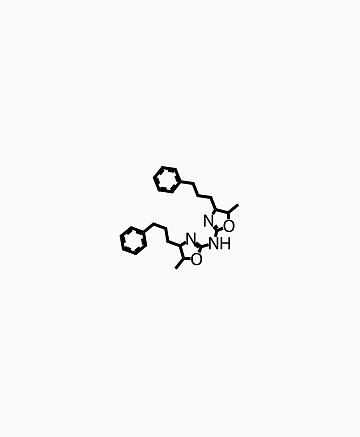 CC1OC(NC2=NC(CCCc3ccccc3)C(C)O2)=NC1CCCc1ccccc1